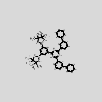 CC1(C)OB(c2cc(B3OC(C)(C)C(C)(C)O3)cc(-c3nc(-c4cccc(-c5ccccc5)c4)nc(-c4cccc(-c5ccccc5)c4)n3)c2)OC1(C)C